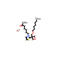 CCCCCCCCCCCCCCCCOCC1(c2scc[n+]2CCCCCC(=O)OC)COC1.[Br-]